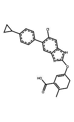 CC1=C(C(=O)O)C=C(Oc2nc3cc(-c4ccc(C5CC5)cc4)c(Cl)cc3[nH]2)CC1